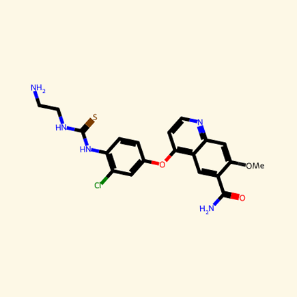 COc1cc2nccc(Oc3ccc(NC(=S)NCCN)c(Cl)c3)c2cc1C(N)=O